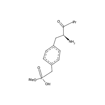 COP(=O)(O)Cc1ccc(C[C@H](N)C(=O)C(C)C)cc1